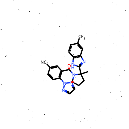 CC1(c2nc3cc(C(F)(F)F)ccc3[nH]2)CCCN1C(=O)c1cc(C#N)ccc1-n1nccn1